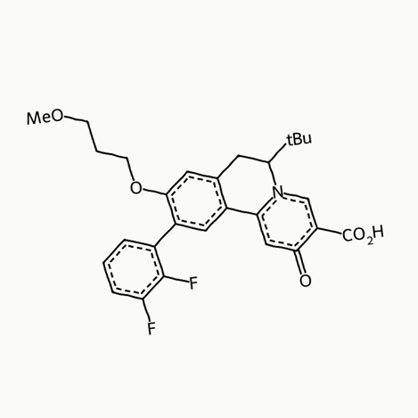 COCCCOc1cc2c(cc1-c1cccc(F)c1F)-c1cc(=O)c(C(=O)O)cn1C(C(C)(C)C)C2